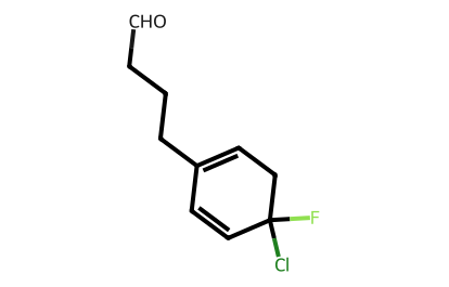 O=CCCCC1=CCC(F)(Cl)C=C1